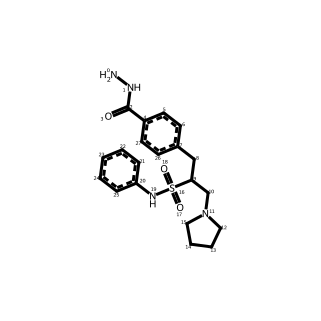 NNC(=O)c1ccc(CC(CN2CCCC2)S(=O)(=O)Nc2ccccc2)cc1